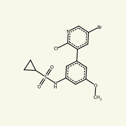 COc1cc(NS(=O)(=O)C2CC2)cc(-c2cc(Br)cnc2Cl)c1